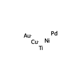 [Au].[Cu].[Ni].[Pd].[Ti]